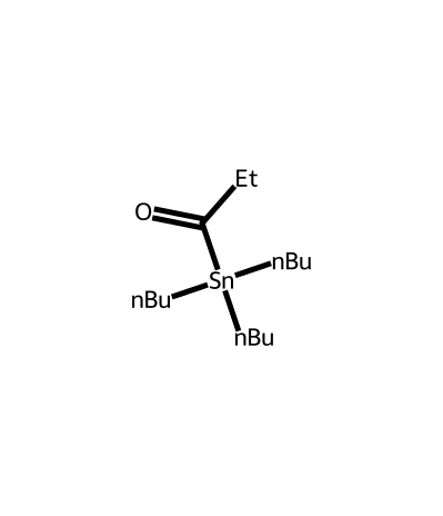 CCC[CH2][Sn]([CH2]CCC)([CH2]CCC)[C](=O)CC